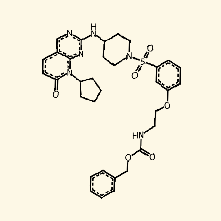 O=C(NCCOc1cccc(S(=O)(=O)N2CCC(Nc3ncc4ccc(=O)n(C5CCCC5)c4n3)CC2)c1)OCc1ccccc1